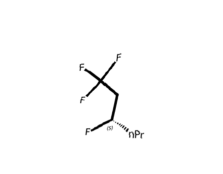 [CH2]CC[C@H](F)CC(F)(F)F